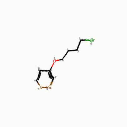 BrCCCCOC1=CSSC=[C]1